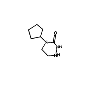 O=C1NNCCN1C1CCCC1